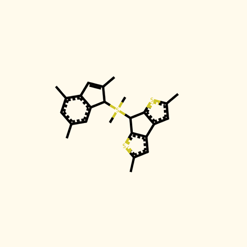 CC1=Cc2c(C)cc(C)cc2C1S(C)(C)C1c2sc(C)cc2-c2cc(C)sc21